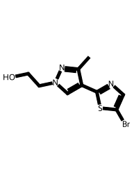 Cc1nn(CCO)cc1-c1ncc(Br)s1